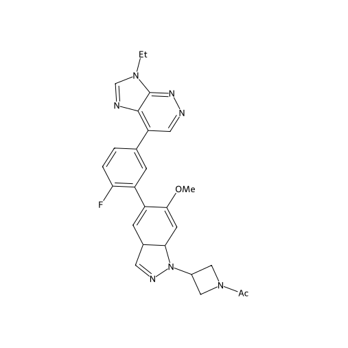 CCn1cnc2c(-c3ccc(F)c(C4=CC5C=NN(C6CN(C(C)=O)C6)C5C=C4OC)c3)cnnc21